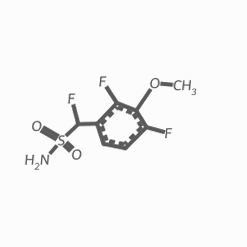 COc1c(F)ccc(C(F)S(N)(=O)=O)c1F